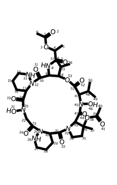 CC(=O)OC(C)C(=O)NC1C(=O)N2NCCCC2C(=O)N(O)CC(=O)N2NCCCC2C(=O)N2CCC(C)(OC(C)=O)C2C(=O)N(O)C(C(C)C)C(=O)OC1C(C)C